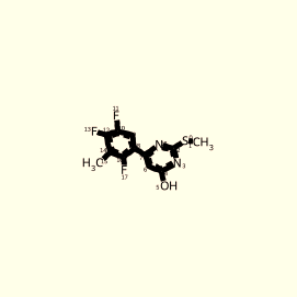 CSc1nc(O)cc(-c2cc(F)c(F)c(C)c2F)n1